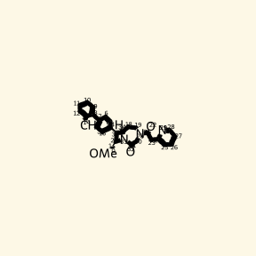 COC[C@@H]1[C@@H](c2ccc(-c3ccccc3C)cc2)[C@@H]2CCN(C(=O)Cc3ccccn3)CC(=O)N12